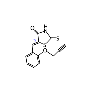 C#CCOc1ccccc1/C=C1\SC(=S)NC1=O